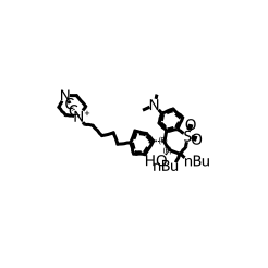 CCCCC1(CCCC)CS(=O)(=O)c2ccc(N(C)C)cc2[C@@H](c2ccc(CCCCC[N+]34CCN(CC3)CC4)cc2)[C@H]1O